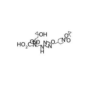 CC1(OC(=O)N2CCC(COc3cnc(NCCN(CC(=O)O)S(=O)(=O)CCC4(O)CC4)cn3)CC2)CC1